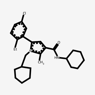 CCc1ccc(Cl)cc1-c1cc(C(=O)NC2CCCCC2)c(C)n1CC1CCCCC1